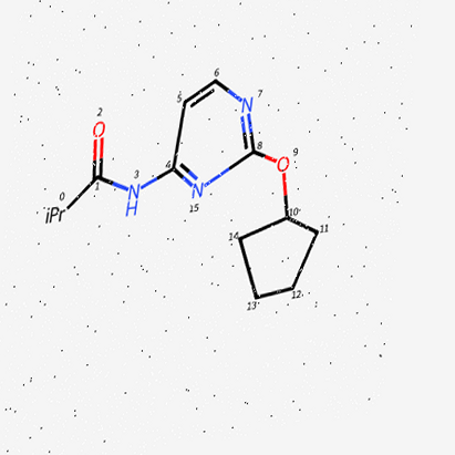 CC(C)C(=O)Nc1ccnc(OC2CCCC2)n1